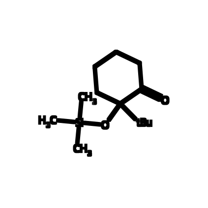 CC(C)(C)C1(O[Si](C)(C)C)CCCCC1=O